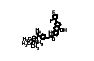 CC(C)[C@H](N)C(C)O/N=C(\N)c1ccc(CNC(=O)c2ccc3c(c2)Cc2cc(-c4ccc(F)cc4F)ccc2[C@@H]3O)cc1